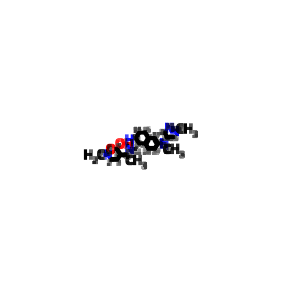 C=N/C=C\C(C(=O)O)=C(/C)NC[C@@H]1CCCc2cc(N(C)c3cnn(C)c3)ccc21